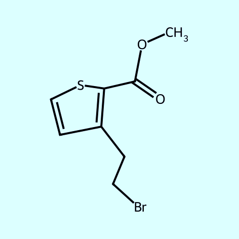 COC(=O)c1sccc1CCBr